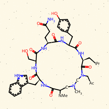 CNC1CN(C)CN(CC(C)=O)C(=O)[C@H](CC(C)C)NC(=O)C(Cc2ccc(O)cc2)NC(=O)[C@H](CCC(N)=O)NC(=O)C(CO)NC(=O)[C@H](Cc2c[nH]c3ccccc23)NC1=O